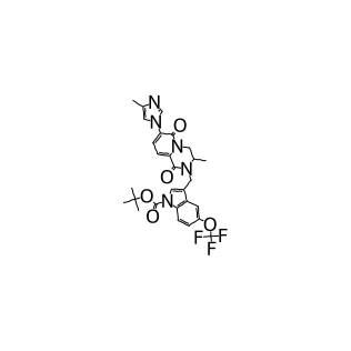 Cc1cn(-c2ccc3n(c2=O)CC(C)N(Cc2cn(C(=O)OC(C)(C)C)c4ccc(OC(F)(F)F)cc24)C3=O)cn1